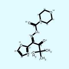 CC(C)(C)C(=O)/C(=N\OC(=O)N1CCOCC1)c1ncco1